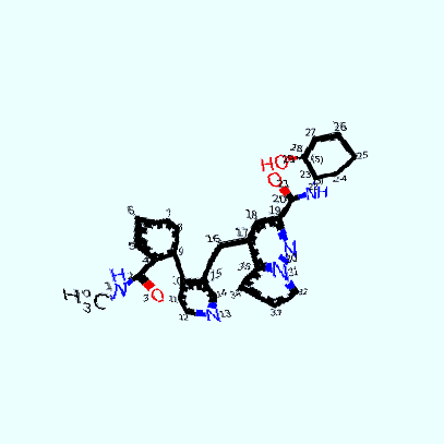 CNC(=O)c1ccccc1-c1ccncc1Cc1cc(C(=O)N[C@H]2CCCC[C@@H]2O)nn2cccc12